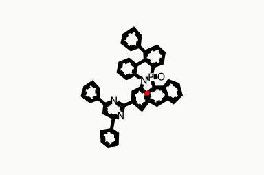 O=P1(c2cccc3ccccc23)c2cccc(-c3ccccc3)c2-c2ccccc2N1c1cccc(-c2nc(-c3ccccc3)cc(-c3ccccc3)n2)c1